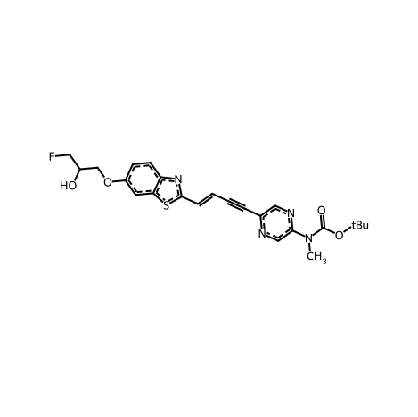 CN(C(=O)OC(C)(C)C)c1cnc(C#C/C=C/c2nc3ccc(OCC(O)CF)cc3s2)cn1